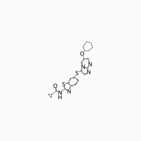 O=C(Nc1nc2ccc(Sc3cnc4ncc(OC5CCCCC5)cn34)cc2s1)C1CC1